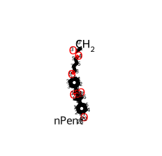 C=CC(=O)OCCCCOc1ccc(C23OCC(c4ccc(OCCCCC)cc4)(CO2)CO3)cc1